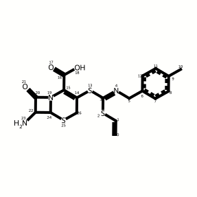 C=CS/C(=N\Cc1ccc(C)cc1)SC1=C(C(=O)O)N2C(=O)C(N)C2SC1